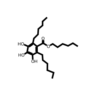 CCCCCCOC(=O)c1c(CCCCCC)c(O)c(O)c(O)c1CCCCCC